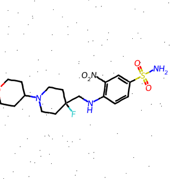 NS(=O)(=O)c1ccc(NCC2(F)CCN(C3CCOCC3)CC2)c([N+](=O)[O-])c1